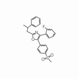 CC(Cc1nc(-c2ccccc2F)c(-c2ccc(S(C)(=O)=O)cc2)o1)c1ccccc1